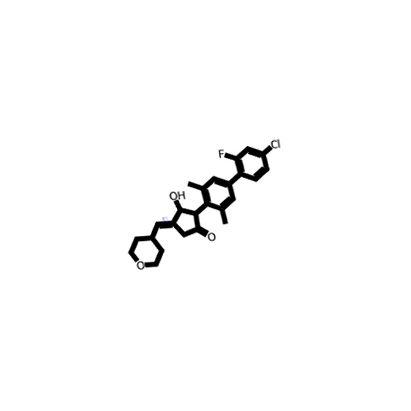 Cc1cc(-c2ccc(Cl)cc2F)cc(C)c1C1C(=O)C/C(=C\C2CCOCC2)C1O